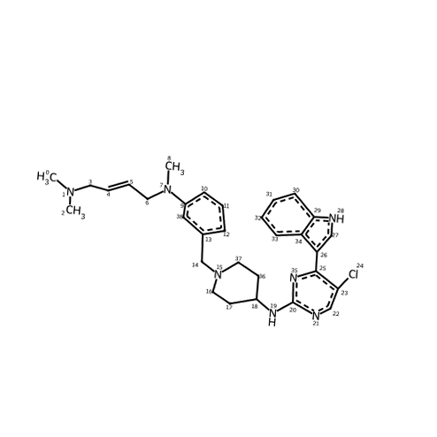 CN(C)CC=CCN(C)c1cccc(CN2CCC(Nc3ncc(Cl)c(-c4c[nH]c5ccccc45)n3)CC2)c1